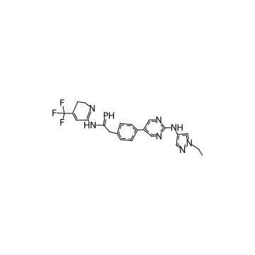 CCn1cc(Nc2ncc(-c3ccc(CC(=P)NC4=NCCC(C(F)(F)F)=C4)cc3)cn2)cn1